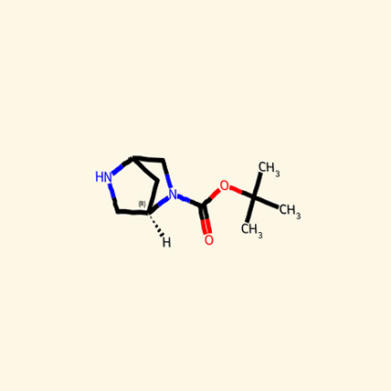 CC(C)(C)OC(=O)N1C[C]2C[C@@H]1CN2